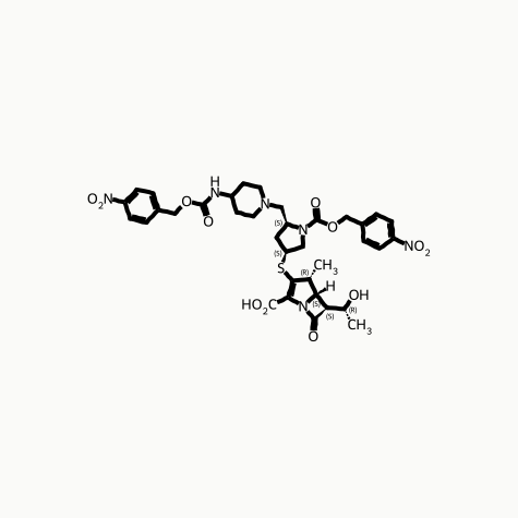 C[C@@H](O)[C@H]1C(=O)N2C(C(=O)O)=C(S[C@H]3C[C@@H](CN4CCC(NC(=O)OCc5ccc([N+](=O)[O-])cc5)CC4)N(C(=O)OCc4ccc([N+](=O)[O-])cc4)C3)[C@H](C)[C@H]12